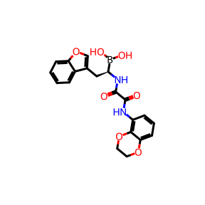 O=C(Nc1cccc2c1OCCO2)C(=O)N[C@@H](Cc1coc2ccccc12)B(O)O